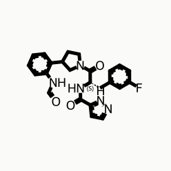 O=CNc1ccccc1C1CCN(C(=O)[C@H](Cc2cccc(F)c2)NC(=O)c2ccn[nH]2)C1